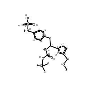 COCc1csc(C(Cc2ccc(NS(=O)(=O)O)cc2)NC(=O)OC(C)(C)C)n1